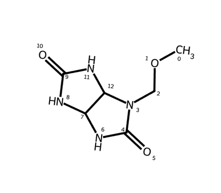 COCN1C(=O)NC2NC(=O)NC21